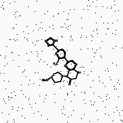 CO[C@H]1CC[C@@H](N2C(=O)CNc3ncc(-c4ccc(-c5nnc[nH]5)nc4C)nc32)CC1